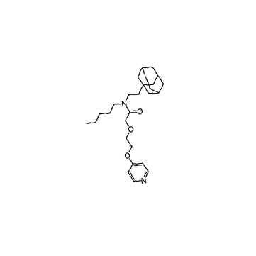 CCCCCN(CCC12CC3CC(CC(C3)C1)C2)C(=O)COCCOc1ccncc1